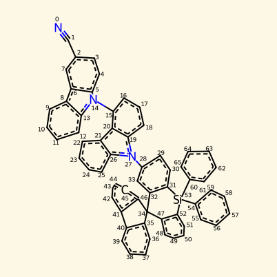 N#Cc1ccc2c(c1)c1ccccc1n2-c1cccc2c1c1ccccc1n2-c1ccc2c(c1)C1(c3ccccc3-c3ccccc31)c1ccccc1[Si]2(c1ccccc1)c1ccccc1